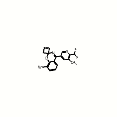 Cc1cc(C2=NC3(CCC3)Oc3c(Br)cccc32)cnc1C(F)F